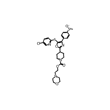 C[S+]([O-])c1ccc(-c2nc(C3CCN(C(=O)OCCN4CCOCC4)CC3)oc2Sc2ccc(Cl)cn2)cc1